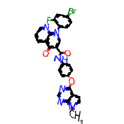 Cn1ccc2c(Oc3ccc(NC(=O)c4cn(-c5ccc(Br)cc5F)c5ncccc5c4=O)cc3)ncnc21